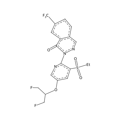 CCS(=O)(=O)c1cc(OC(CF)CF)cnc1-n1ncc2ccc(C(F)(F)F)cc2c1=O